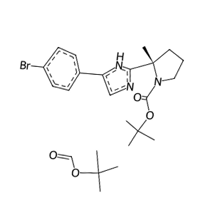 CC(C)(C)OC(=O)N1CCC[C@@]1(C)c1ncc(-c2ccc(Br)cc2)[nH]1.CC(C)(C)OC=O